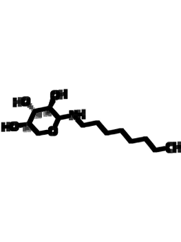 CCCCCCCCNC1OC[C@@H](O)[C@H](O)[C@H]1O